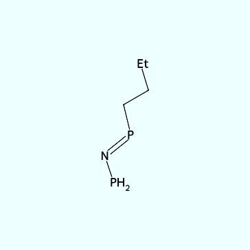 CCCCP=NP